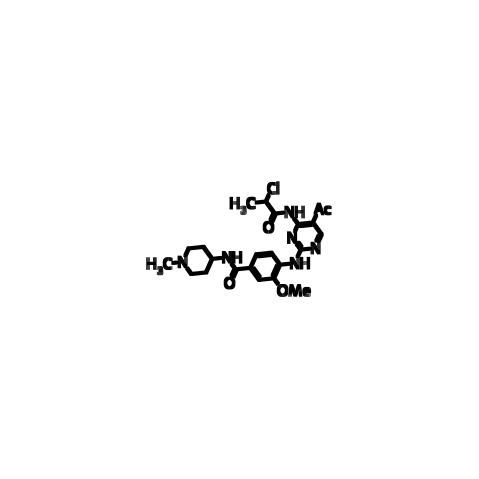 COc1cc(C(=O)NC2CCN(C)CC2)ccc1Nc1ncc(C(C)=O)c(NC(=O)C(C)Cl)n1